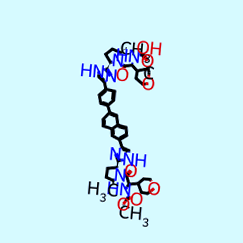 COC(=O)NC(C(=O)N1[C@@H](C)CC[C@H]1c1nc(-c2ccc3cc(-c4ccc(-c5c[nH]c([C@@H]6CC[C@H](C)N6C(=O)[C@@H](NC(=O)O)C6CCOCC6)n5)cc4)ccc3c2)c[nH]1)C1CCOCC1